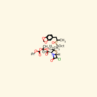 CC(C)OC(=O)OC(C)(C)OC(=O)[C@@H]1N2C(=O)[C@@H](Cl)[C@H]2SC1(C)C.CCCCCCCC[S+]([O-])C(C)Cc1ccc2c(c1)OCO2